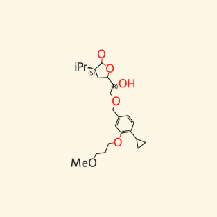 COCCCOc1cc(COC[C@@H](O)C2C[C@@H](C(C)C)C(=O)O2)ccc1C1CC1